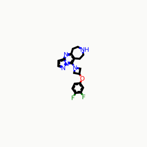 Fc1ccc(OC2CN(c3c4c(nc5ccnn35)CCNCC4)C2)cc1F